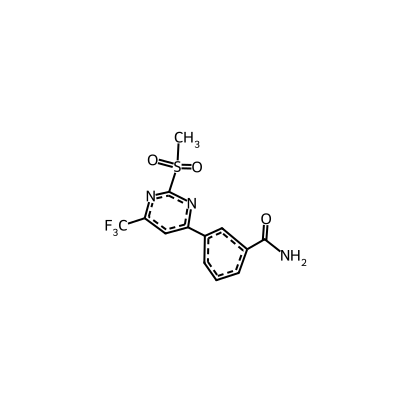 CS(=O)(=O)c1nc(-c2cccc(C(N)=O)c2)cc(C(F)(F)F)n1